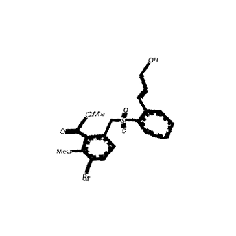 COC(=O)c1c(CS(=O)(=O)c2ccccc2C=CCO)ccc(Br)c1OC